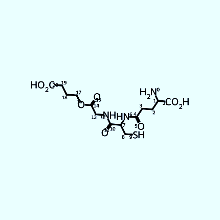 NC(CCC(=O)NC(CS)C(=O)NCC(=O)OCCCC(=O)O)C(=O)O